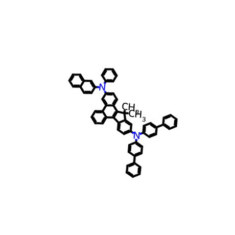 CC1(C)c2cc(N(c3ccc(-c4ccccc4)cc3)c3ccc(-c4ccccc4)cc3)ccc2-c2c1c1ccc(N(c3ccccc3)c3ccc4ccccc4c3)cc1c1ccccc21